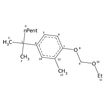 CCCCCC(C)(C)c1ccc(OCOCC)c(C)c1